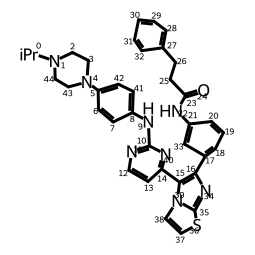 CC(C)N1CCN(c2ccc(Nc3nccc(-c4c(-c5cccc(NC(=O)CCc6ccccc6)c5)nc5sccn45)n3)cc2)CC1